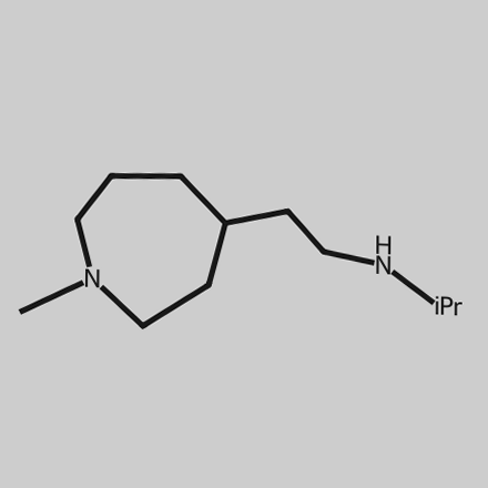 CC(C)NCCC1CCCN(C)CC1